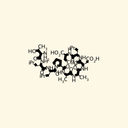 CC(C)C[C@H](NC(=O)[C@H](CC(=O)O)NC(=O)[C@H](C)NC(=O)[C@H](C)NC(=O)[C@@H]1CCCN1C(=O)[C@H](CC(C)C)NC(=O)[C@H](CC(C)C)NC(=O)[C@@H](N)[C@@H](C)O)C(=O)N[C@@H](CC(=O)O)C(=O)O